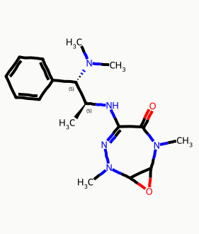 C[C@H](NC1=NN(C)C2OC2N(C)C1=O)[C@H](c1ccccc1)N(C)C